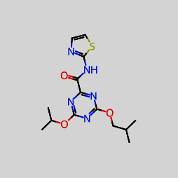 CC(C)COc1nc(OC(C)C)nc(C(=O)Nc2nccs2)n1